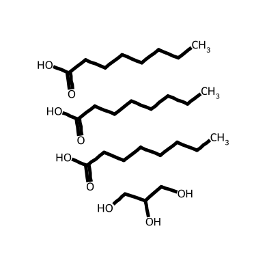 CCCCCCCC(=O)O.CCCCCCCC(=O)O.CCCCCCCC(=O)O.OCC(O)CO